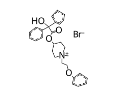 C[N+]1(CCOc2ccccc2)CCC(OC(=O)C(O)(c2ccccc2)c2ccccc2)CC1.[Br-]